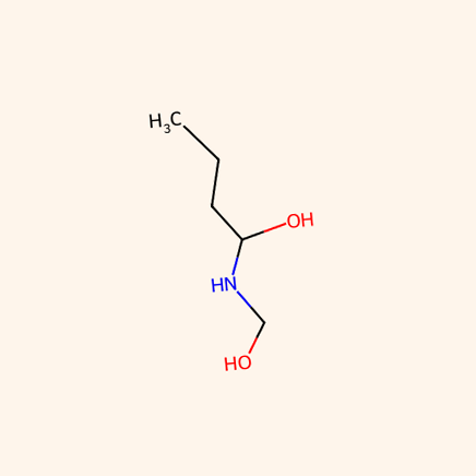 CCCC(O)NCO